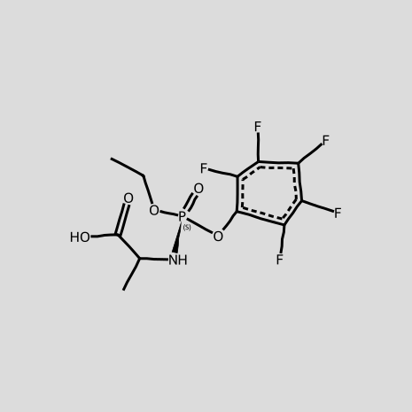 CCO[P@@](=O)(NC(C)C(=O)O)Oc1c(F)c(F)c(F)c(F)c1F